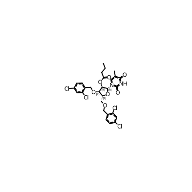 CCCC(=O)O[C@@H]1[C@H](OCc2ccc(Cl)cc2Cl)[C@@H](COCc2ccc(Cl)cc2Cl)O[C@H]1n1cc(C)c(=O)[nH]c1=O